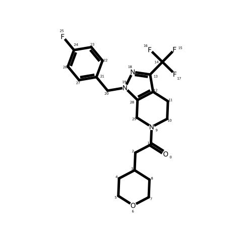 O=C(CC1CCOCC1)N1CCc2c(C(F)(F)F)nn(Cc3ccc(F)cc3)c2C1